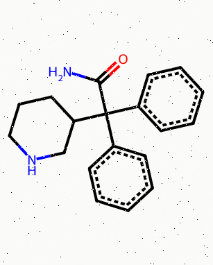 NC(=O)C(c1ccccc1)(c1ccccc1)C1CCCNC1